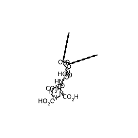 CC#CC#CC#CC#CC#CC(=O)OCC(COP(=O)(O)OCCNC(=O)CN1CCN(CC(=O)O)CCN(CC(=O)O)CCN(CC(=O)O)CC1)OC(=O)C#CC#CC#CC#CC#CC